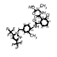 Cc1cc(Cn2nc(C(F)(F)F)cc2C(F)(F)F)ccc1NC(=O)c1cccc(Cl)c1C(=O)N[C@@H](C)C(=O)O